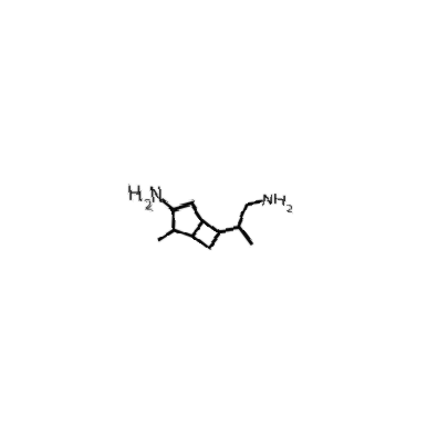 CC(CN)C1CC2C(C)C(N)CC12